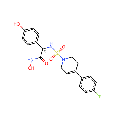 O=C(NO)[C@H](NS(=O)(=O)N1CC=C(c2ccc(F)cc2)CC1)c1ccc(O)cc1